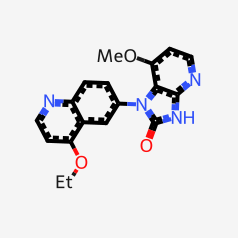 CCOc1ccnc2ccc(-n3c(=O)[nH]c4nccc(OC)c43)cc12